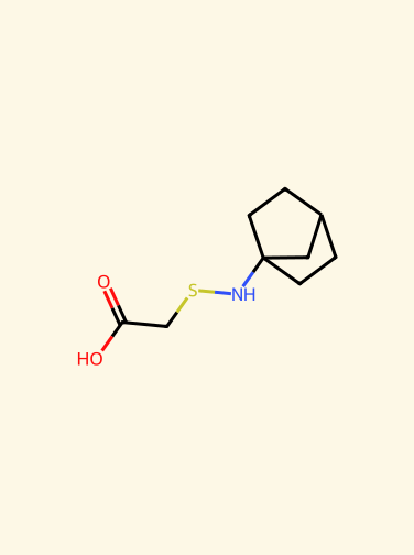 O=C(O)CSNC12CCC(CC1)C2